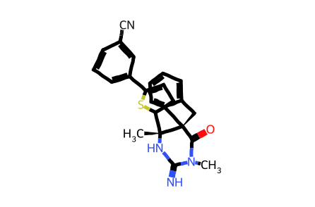 CN1C(=N)N[C@](C)(C2CC=C(c3cccc(C#N)c3)S2)[C@@]2(Cc3ccccc32)C1=O